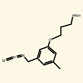 CCCCCCCCCCCCOc1cc(C)cc(CN=[N+]=[N-])c1